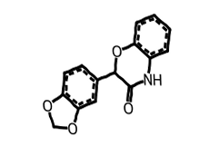 O=C1Nc2ccccc2OC1c1ccc2c(c1)OCO2